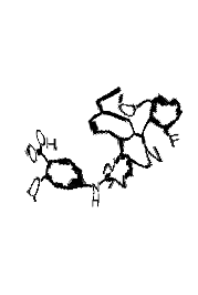 C=CC1=CC2C(c3c(F)cccc3OC)=NCc3cnc(Nc4ccc(C(=O)O)c(OC)c4)nc3C2C=C1